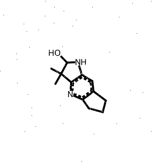 CC1(C)c2nc3c(cc2NC1O)CCC3